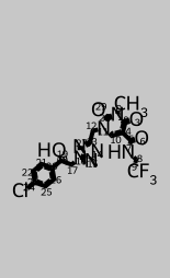 Cn1c(=O)c(C(=O)NCC(F)(F)F)cn(Cc2nnn(C[C@H](O)c3ccc(Cl)cc3)n2)c1=O